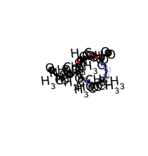 CO[C@@H]1C[C@H](C[C@@H](C)[C@@H]2CC(=O)[C@H](C)/C=C(\C)[C@@H](O)[C@@H](OC)C(=O)[C@H](C)C[C@H](C)/C=C/C=C/C=C(\C)C(OCC3COCCO3)C[C@@H]3CC[C@@H](C)[C@@](O)(O3)C(=O)C(=O)N3CCCC[C@H]3CO2)CC[C@H]1OC(=O)N(C)CCN1CCOCC1